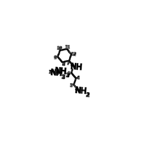 N.N.NCCCNC1CCCCC1